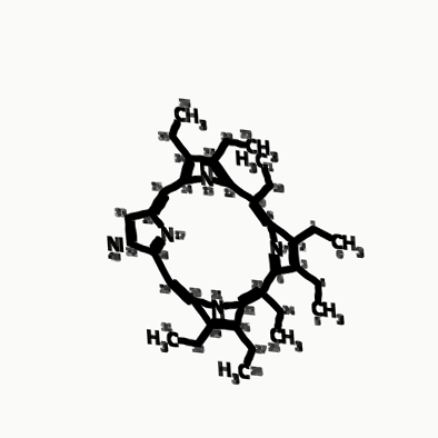 CCC1=C(CC)c2nc1c(CC)c1[nH]c(cc3nc(cc4[nH]c(c2CC)c(CC)c4CC)C=C3)c(CC)c1CC.[Ni]